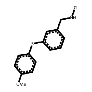 COc1ccc(Sc2cccc(CNCl)c2)cc1